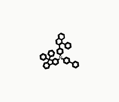 C1=CCC2C(=C1)C=CC(c1ccc(N(c3ccc(-c4ccccc4)cc3)c3ccc4c(c3)C(c3ccccc3)(c3ccccc3)c3ccccc3-4)cc1)=C2c1ccccc1